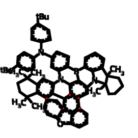 CC(C)(C)c1ccc(N(c2ccc(C(C)(C)C)cc2)c2ccc3c(c2)N(c2cc4c(cc2-c2ccccc2)C(C)(C)CCC4(C)C)c2cc(-c4cccc5oc6ccccc6c45)cc4c2B3c2cccc3c2N4C2(C)CCCCC32C)cc1